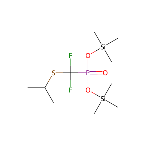 CC(C)SC(F)(F)P(=O)(O[Si](C)(C)C)O[Si](C)(C)C